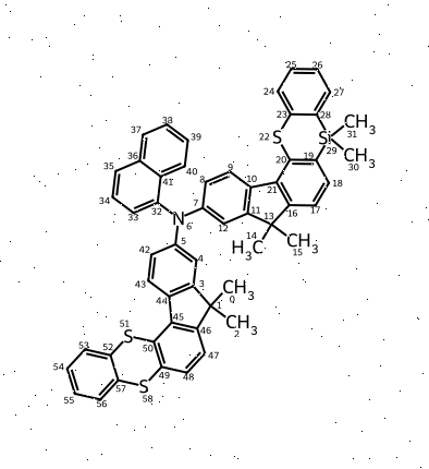 CC1(C)c2cc(N(c3ccc4c(c3)C(C)(C)c3ccc5c(c3-4)Sc3ccccc3[Si]5(C)C)c3cccc4ccccc34)ccc2-c2c1ccc1c2Sc2ccccc2S1